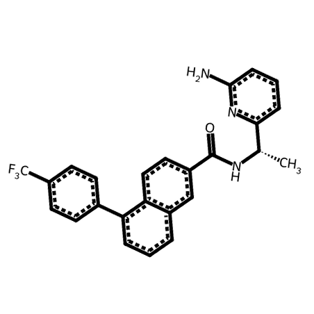 C[C@H](NC(=O)c1ccc2c(-c3ccc(C(F)(F)F)cc3)cccc2c1)c1cccc(N)n1